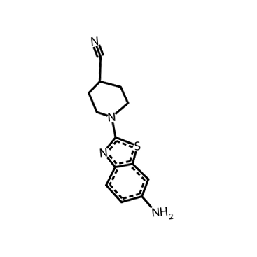 N#CC1CCN(c2nc3ccc(N)cc3s2)CC1